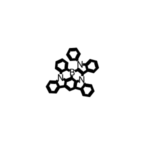 c1ccc(-n2c3c(c4ccccc42)-n2c4ccccc4c4cc5c6ccccc6n6c5c(c42)B3c2ccccc2-6)cc1